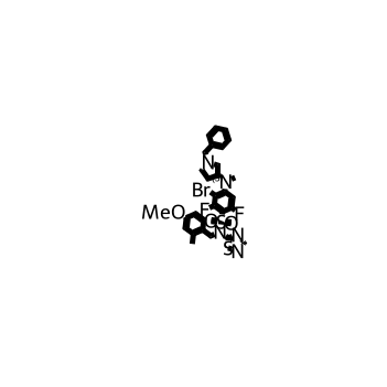 COc1ccc(CN(c2ncns2)S(=O)(=O)c2c(F)cc(N(C)[C@H]3CCN(Cc4ccccc4)C3)c(Br)c2F)c(C)c1